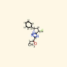 CCC(=O)c1nc2n(n1)C(c1ccccc1)CC2F